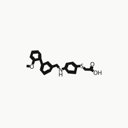 COc1ccccc1-c1cccc(CNc2ccc(SCC(=O)O)cc2)c1